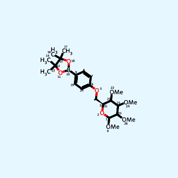 COC1O[C@@H](COc2ccc(B3OC(C)(C)C(C)(C)O3)cc2)C(OC)C(OC)C1OC